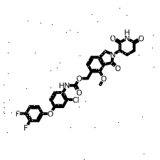 COc1c(COC(=O)Nc2ccc(Oc3ccc(F)c(F)c3)cc2Cl)ccc2c1C(=O)N(C1CCC(=O)NC1=O)C2